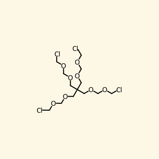 ClCOCOCC(COCOCCl)(COCOCCl)COCOCCl